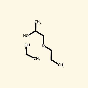 CCCOCC(C)O.CCO